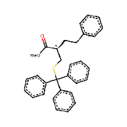 COC(=O)[C@@H](CCc1ccccc1)CSC(c1ccccc1)(c1ccccc1)c1ccccc1